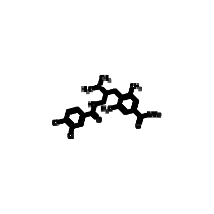 CNC(=O)c1cc(C)c(CC(CNC(=O)c2ccc(Cl)c(Cl)c2)N(C)C)c(C)c1